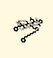 CC(=O)N1CCC[C@H]1C(=O)NC(CC(C)C)C(=O)NC(Cc1cncn1CCCCCCCCc1ccccc1)C(=O)NC(CO)C(=O)NC(C(N)=O)C(CCc1ccccc1)CP(=O)(O)O